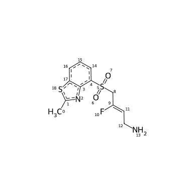 Cc1nc2c(S(=O)(=O)C/C(F)=C/CN)cccc2s1